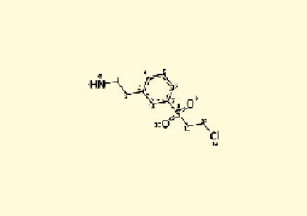 [NH]CCc1cccc(S(=O)(=O)CCCl)c1